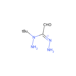 CC(C)(C)N(N)/C(C=O)=N\N